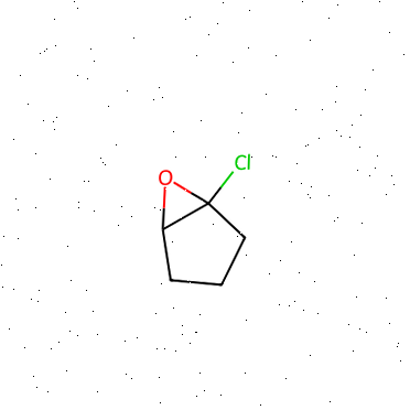 ClC12CCCC1O2